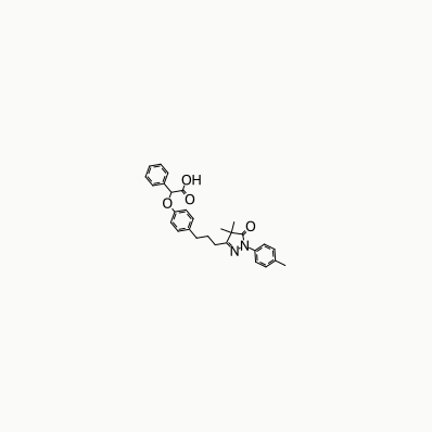 Cc1ccc(N2N=C(CCCc3ccc(OC(C(=O)O)c4ccccc4)cc3)C(C)(C)C2=O)cc1